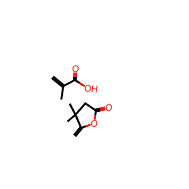 C=C(C)C(=O)O.C=C1OC(=O)CC1(C)C